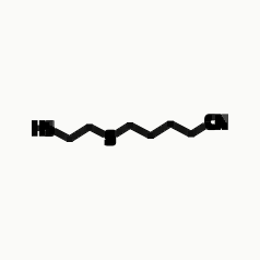 N#CCCCCSCCS